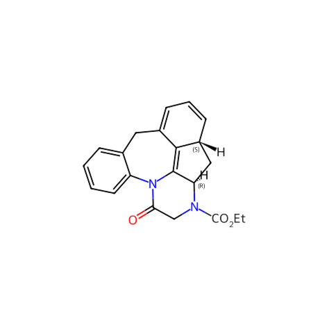 CCOC(=O)N1CC(=O)N2C3=C4C(=CC=C[C@@H]4C[C@H]31)Cc1ccccc12